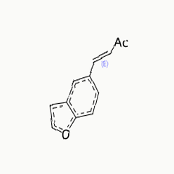 CC(=O)/C=C/c1ccc2occc2c1